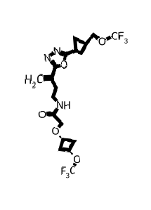 C=C(CCNC(=O)CO[C@H]1C[C@@H](OC(F)(F)F)C1)c1nnc(C2CC(COC(F)(F)F)C2)o1